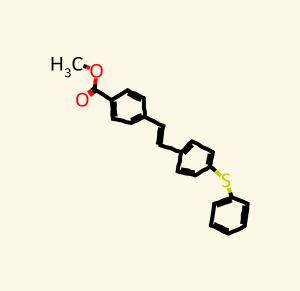 COC(=O)c1ccc(/C=C/c2ccc(Sc3ccccc3)cc2)cc1